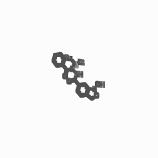 CC[C@H](N(NC(=O)c1ccc2c(c1)B(O)OC2)C(=O)c1ccccc1)C(C)(C)C